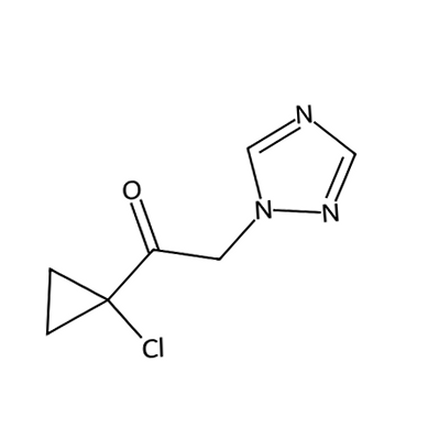 O=C(Cn1cncn1)C1(Cl)CC1